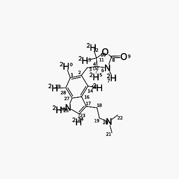 [2H]c1c(C[C@]2([2H])N([2H])C(=O)OC2([2H])[2H])c([2H])c2c(CCN(C)C)c([2H])n([2H])c2c1[2H]